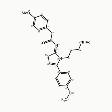 COc1ccc(CC(=O)/N=c2\scc(-c3ccc(OC(F)(F)F)cc3)n2CCCNC(C)=O)cc1